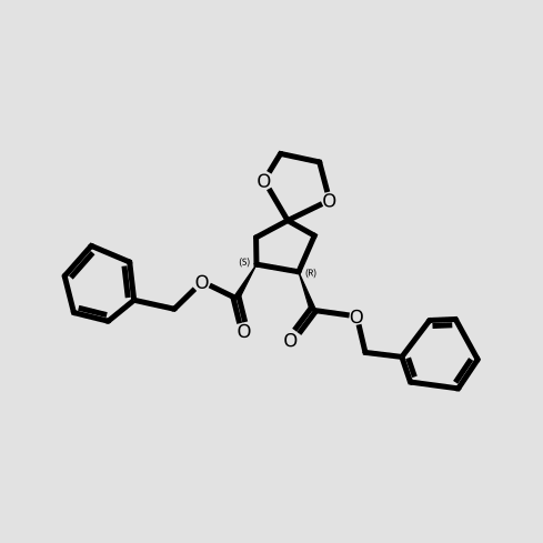 O=C(OCc1ccccc1)[C@H]1CC2(C[C@H]1C(=O)OCc1ccccc1)OCCO2